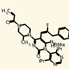 C=CC(=O)N1CCN(c2nc(=O)n(-c3c(C(C)C)ncnc3C(C)C)c(NOC)c2/C=C(/F)Cc2ccccc2)C(C)C1